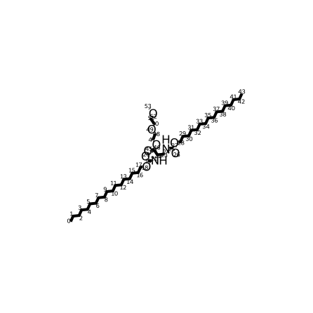 CCCCCCCCCCCCCCCCCCOC(=O)NC(CNC(=O)OCCCCCCCCCCCCCCCC)C(=O)OCCOCCOC